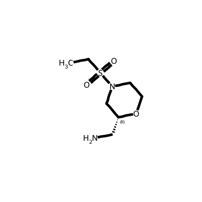 CCS(=O)(=O)N1CCO[C@H](CN)C1